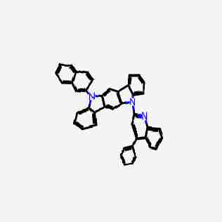 c1ccc(-c2cc(-n3c4ccccc4c4cc5c(cc43)c3ccccc3n5-c3ccc4ccccc4c3)nc3ccccc23)cc1